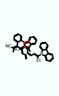 C=C/C=C(/C#N)c1c(C)c2ccccc2n1-c1ccccc1C(/C=C(\C=C)C/C=C\C=C(/CC)n1c2ccccc2c2ccccc21)=C(/C)C#N